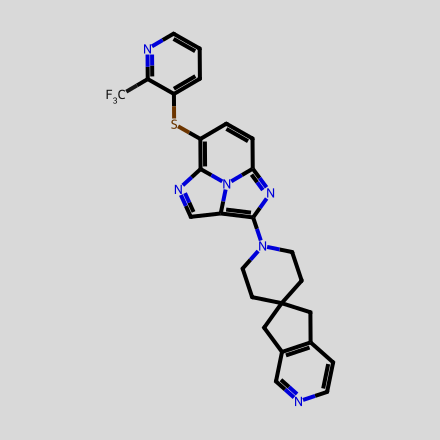 FC(F)(F)c1ncccc1Sc1ccc2nc(N3CCC4(CC3)Cc3ccncc3C4)c3cnc1n23